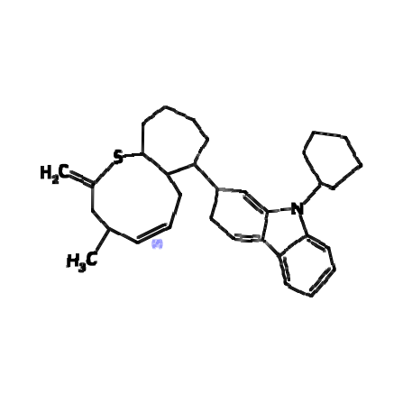 C=C1CC(C)/C=C\CC2C(CCCCC2C2C=c3c(c4ccccc4n3C3CCCCC3)=CC2)S1